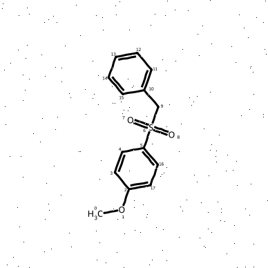 COc1ccc(S(=O)(=O)Cc2ccccc2)cc1